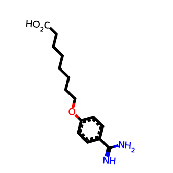 N=C(N)c1ccc(OCCCCCCCC(=O)O)cc1